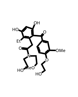 CCc1c(O)cc(O)c(C(=O)c2ccc(OCCO)c(OC)c2)c1CC(=O)N(CCO)CCOC